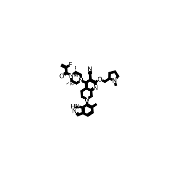 C=C(F)C(=O)N1[C@H](C)CN(c2c(C#N)c(OCC3CCCN3C)nc3c2CCN(c2c(C)ccc4cn[nH]c24)C3)C[C@@H]1C